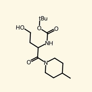 CC1CCN(C(=O)C(CCO)NC(=O)OC(C)(C)C)CC1